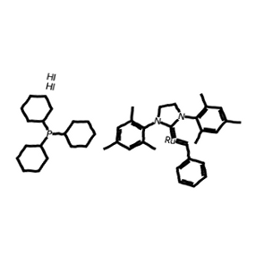 C1CCC(P(C2CCCCC2)C2CCCCC2)CC1.Cc1cc(C)c(N2CCN(c3c(C)cc(C)cc3C)[C]2=[Ru]=[CH]c2ccccc2)c(C)c1.I.I